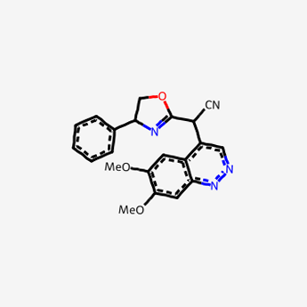 COc1cc2nncc(C(C#N)C3=NC(c4ccccc4)CO3)c2cc1OC